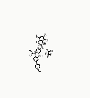 C=CC(=O)Nc1ccc(N2CCN(CC)CC2)cc1Nc1cc(N(C)C(=O)Nc2c(Cl)c(OC)cc(OC)c2Cl)ncn1.O=C(O)C(F)(F)F